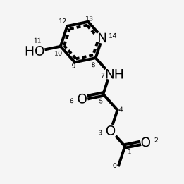 CC(=O)OCC(=O)Nc1cc(O)ccn1